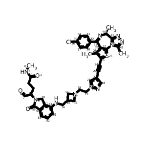 CNC(=O)CCC(C=O)N1Cc2c(NCC3CN(CCn4cc(C#Cc5sc6c(c5C)C(c5ccc(Cl)cc5)=N[C@@H](C)c5nnc(C)n5-6)cn4)C3)cccc2C1=O